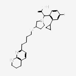 O=C(O)C(c1ccc(F)cc1C1CC1)N1CCC(OCCCCc2ccc3c(n2)NCCC3)C1